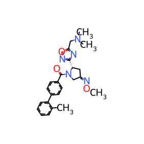 CON=C1C[C@@H](c2noc(CN(C)C)n2)N(C(=O)c2ccc(-c3ccccc3C)cc2)C1